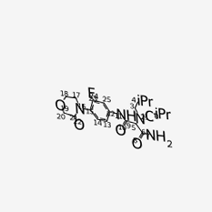 CC(C)CN(CC(C)C)[C@H](C(N)=O)C(=O)Nc1ccc(N2CCOCC2=O)c(F)c1